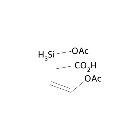 C=COC(C)=O.CC(=O)O.CC(=O)O[SiH3]